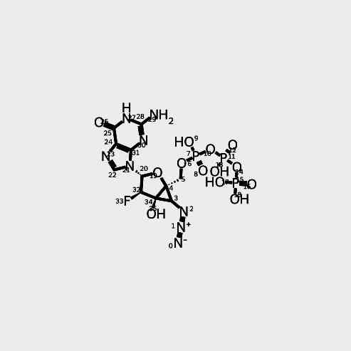 [N-]=[N+]=NC1[C@]2(COP(=O)(O)OP(=O)(O)OP(=O)(O)O)O[C@@H](n3cnc4c(=O)[nH]c(N)nc43)[C@H](F)[C@@]12O